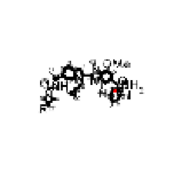 COc1cc(C(=O)N2[C@H]3CC[C@@H]2[C@H](N)C3)cc2nc(-c3cc4ccc([C@@H](C)NC(=O)N5CC(F)(F)C5)cc4n3CC3CC3)n(C)c12